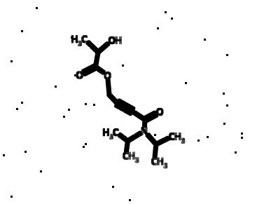 CC(O)C(=O)OCC#CC(=O)N(C(C)C)C(C)C